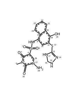 Cn1c(=O)c(S(=O)(=O)Nc2cc(SC3=NNCN3)c(O)c3ccccc23)cn(N)c1=O